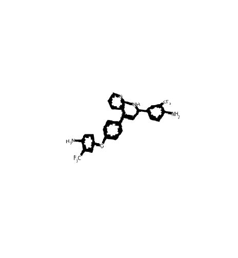 Nc1ccc(Oc2ccc(C3=CC(c4ccc(N)c(C(F)(F)F)c4)Nc4ncccc43)cc2)cc1C(F)(F)F